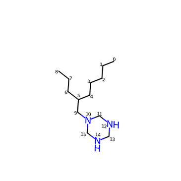 CCCCCC(CCC)CN1CNCNC1